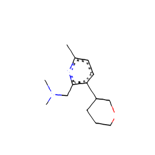 Cc1ccc(C2CCCOC2)c(CN(C)C)n1